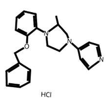 CC1CN(c2ccncc2)CCN1c1ccccc1OCc1ccccc1.Cl